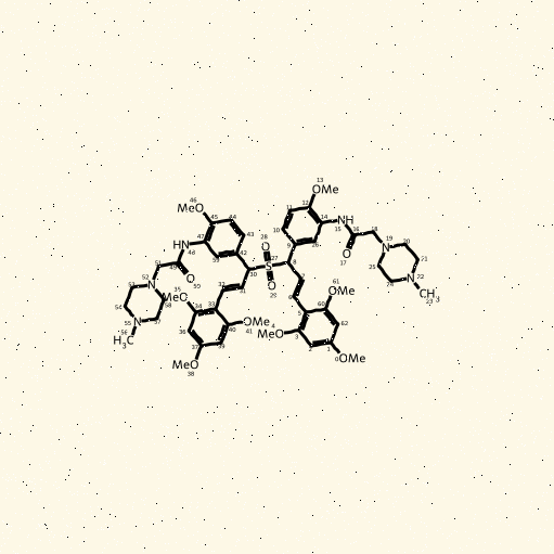 COc1cc(OC)c(C=CC(c2ccc(OC)c(NC(=O)CN3CCN(C)CC3)c2)S(=O)(=O)C(C=Cc2c(OC)cc(OC)cc2OC)c2ccc(OC)c(NC(=O)CN3CCN(C)CC3)c2)c(OC)c1